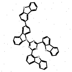 c1ccc2c(c1)oc1ccc(-c3ccc4c(c3)c3ccccc3n4-c3nc(-c4cccc5c4oc4ccccc45)nc(-c4cccc5c4oc4ccccc45)n3)cc12